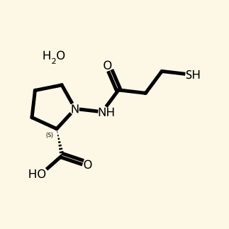 O.O=C(CCS)NN1CCC[C@H]1C(=O)O